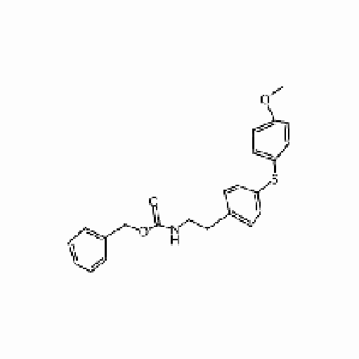 COc1ccc(Sc2ccc(CCNC(=O)OCc3ccccc3)cc2)cc1